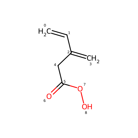 C=CC(=C)CC(=O)OO